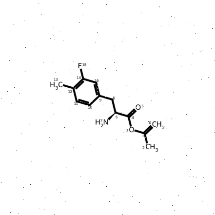 C=C(C)OC(=O)[C@@H](N)Cc1ccc(C)c(F)c1